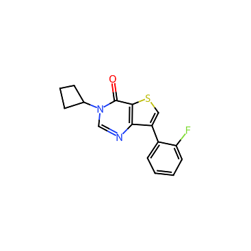 O=c1c2scc(-c3ccccc3F)c2ncn1C1CCC1